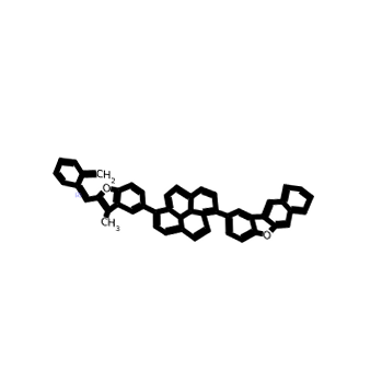 C=c1cccc/c1=C/c1oc2ccc(C3=CC=C4C=CC5=C(c6ccc7oc8cc9ccccc9cc8c7c6)C=CC6=CC=C3C4C65)cc2c1C